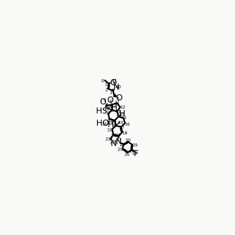 Cc1cc(C(=O)O[C@]2(C(=O)S)CC[C@H]3[C@@H]4CCC5=Cc6c(cnn6-c6ccc(F)cc6)C[C@]5(C)[C@H]4[C@@H](O)C[C@@]32C)no1